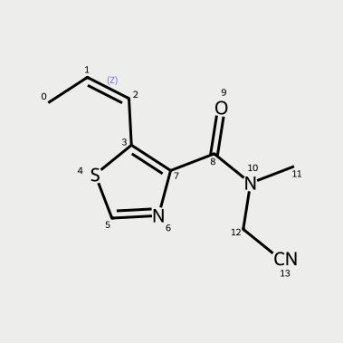 C/C=C\c1scnc1C(=O)N(C)CC#N